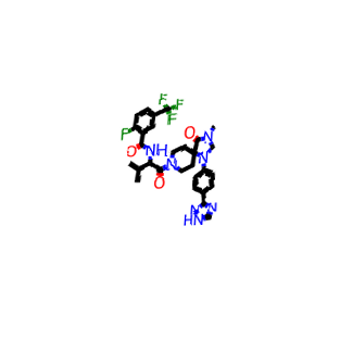 CC(C)C(NC(=O)c1cc(C(F)(F)F)ccc1F)C(=O)N1CCC2(CC1)C(=O)N(C)CN2c1ccc(-c2nc[nH]n2)cc1